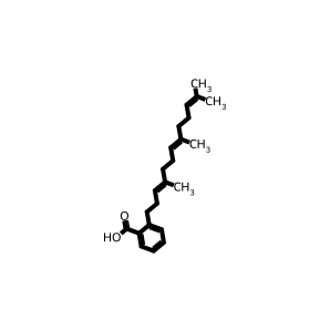 CC(C)=CCC/C(C)=C/CC/C(C)=C/CCc1ccccc1C(=O)O